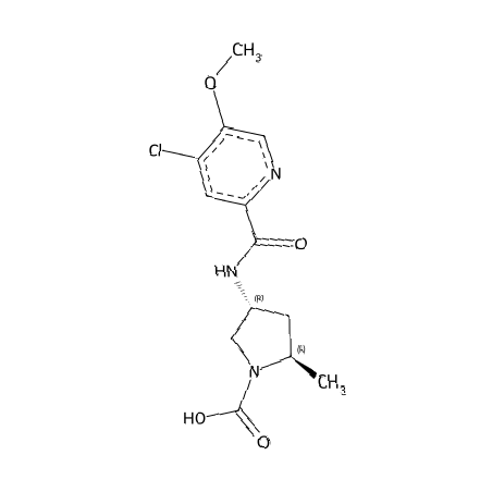 COc1cnc(C(=O)N[C@@H]2C[C@@H](C)N(C(=O)O)C2)cc1Cl